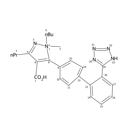 CCCC[N+]1(C)N=C(CCC)C(C(=O)O)=C1c1ccc(-c2ccccc2-c2nnn[nH]2)cc1